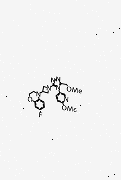 COCc1nnc(N2CC(N3CCOc4cc(F)ccc43)C2)n1-c1ccc(OC)nc1